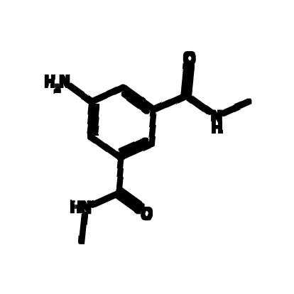 CNC(=O)c1cc(N)cc(C(=O)NC)c1